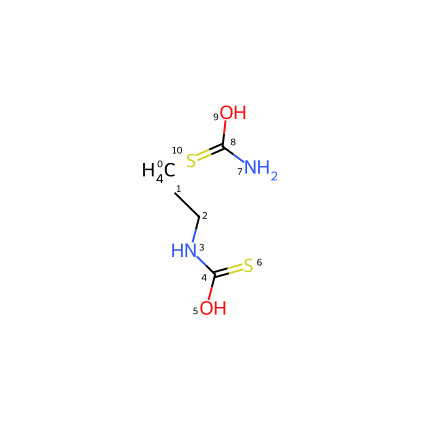 C.CCNC(O)=S.NC(O)=S